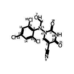 N#Cc1cn(N(CO)c2c(Cl)cc(Cl)cc2Cl)c(=O)[nH]c1=O